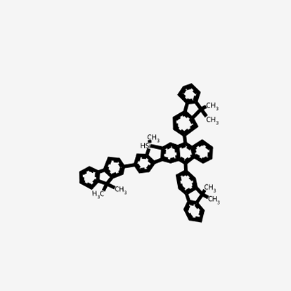 C[SiH]1c2cc(-c3ccc4c(c3)C(C)(C)c3ccccc3-4)ccc2-c2cc3c(-c4ccc5c(c4)C(C)(C)c4ccccc4-5)c4ccccc4c(-c4ccc5c(c4)C(C)(C)c4ccccc4-5)c3cc21